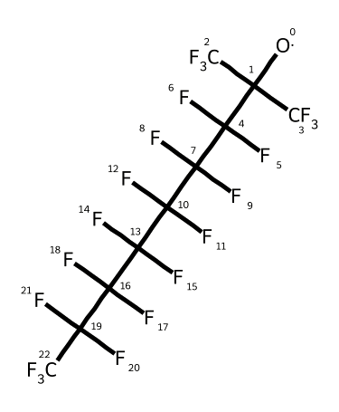 [O]C(C(F)(F)F)(C(F)(F)F)C(F)(F)C(F)(F)C(F)(F)C(F)(F)C(F)(F)C(F)(F)C(F)(F)F